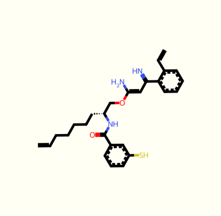 C=CCCCCC[C@H](CO/C(N)=C/C(=N)c1ccccc1C=C)NC(=O)c1cccc(S)c1